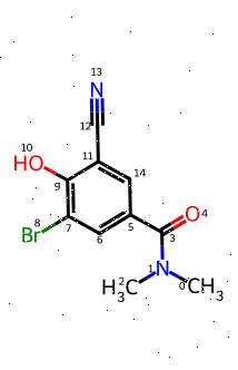 CN(C)C(=O)c1cc(Br)c(O)c(C#N)c1